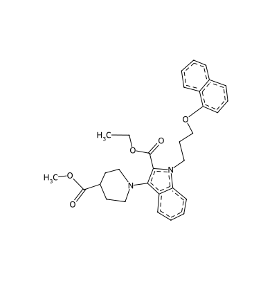 CCOC(=O)c1c(N2CCC(C(=O)OC)CC2)c2ccccc2n1CCCOc1cccc2ccccc12